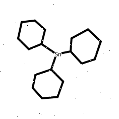 C1CC[CH]([Sn]([CH]2CCCCC2)[CH]2CCCCC2)CC1